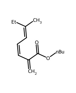 C=C(/C=C\C=C(\C)CC)C(=O)OCCCC